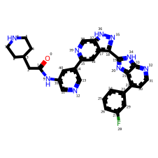 O=C(CC1CCNCC1)Nc1cncc(-c2cc3c(-c4nc5c(-c6cccc(F)c6)ccnc5[nH]4)n[nH]c3cn2)c1